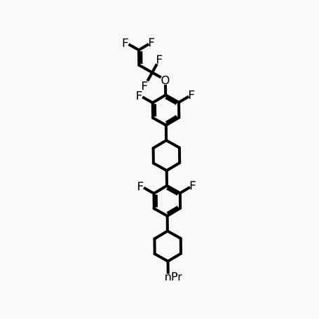 CCCC1CCC(c2cc(F)c(C3CCC(c4cc(F)c(OC(F)(F)C=C(F)F)c(F)c4)CC3)c(F)c2)CC1